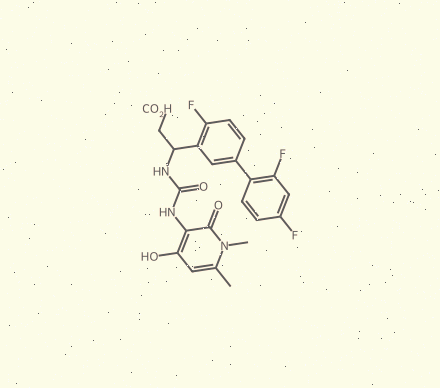 Cc1cc(O)c(NC(=O)NC(CC(=O)O)c2cc(-c3ccc(F)cc3F)ccc2F)c(=O)n1C